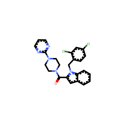 O=C(c1cc2ccccc2n1Cc1ccc(Cl)cc1Cl)N1CCN(c2ncccn2)CC1